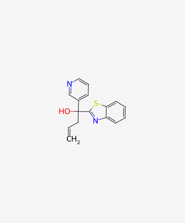 C=CCC(O)(c1cccnc1)c1nc2ccccc2s1